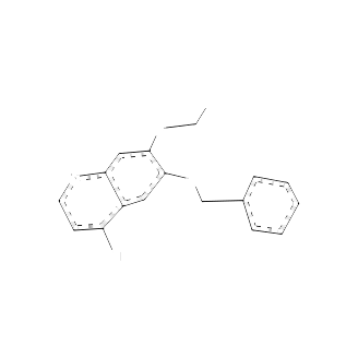 CCOc1cc2nccc(Cl)c2cc1OCc1ccccc1